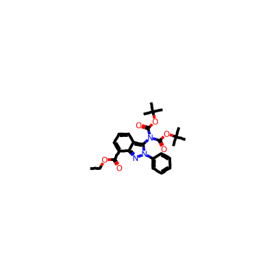 CCOC(=O)c1cccc2c(N(C(=O)OC(C)(C)C)C(=O)OC(C)(C)C)n(-c3ccccc3)nc12